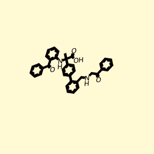 CC(Nc1ccccc1C(=O)c1ccccc1)(C(=O)O)c1ccc(-c2ccccc2CNCC(=O)c2ccccc2)cc1